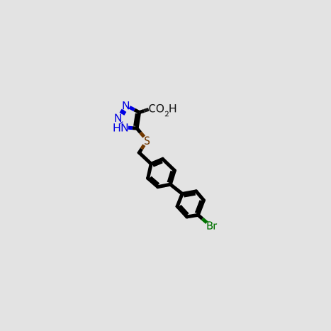 O=C(O)c1nn[nH]c1SCc1ccc(-c2ccc(Br)cc2)cc1